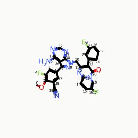 COc1c(F)cc(-c2nn(Cc3nc4ccc(F)cn4c(=O)c3-c3cccc(F)c3)c3ncnc(N)c23)cc1C#N